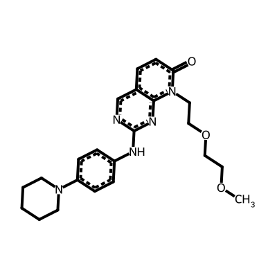 COCCOCCn1c(=O)ccc2cnc(Nc3ccc(N4CCCCC4)cc3)nc21